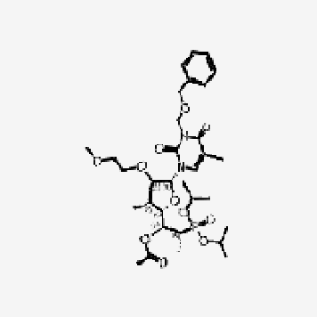 COCCO[C@@H]1[C@H](C)[C@@H]([C@H](OC(C)=O)[C@@H](C)P(=O)(OC(C)C)OC(C)C)O[C@H]1n1cc(C)c(=O)n(COCc2ccccc2)c1=O